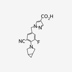 N#Cc1cc(Cn2cc(C(=O)O)cn2)cc(F)c1N1CC2CC2C1